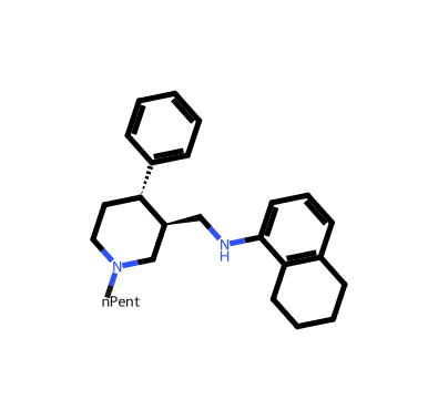 CCCCCN1CC[C@H](c2ccccc2)[C@@H](CNc2cccc3c2CCCC3)C1